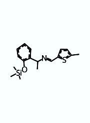 Cc1ccc(/C=N/C(C)c2ccccc2O[Si](C)(C)C)s1